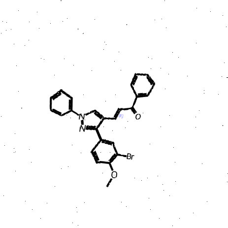 COc1ccc(-c2nn(-c3ccccc3)cc2/C=C/C(=O)c2ccccc2)cc1Br